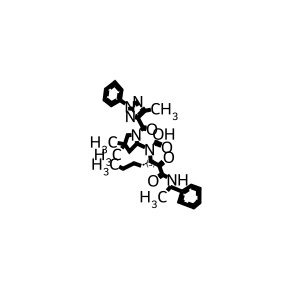 CCCC[C@@H](C(=O)C(=O)NC(C)c1ccccc1)N(C(=O)O)C1CC(C)(C)CN1C(=O)c1nn(-c2ccccc2)nc1C